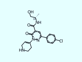 C[C@@H](CO)NC(=O)c1cc(-c2ccc(Cl)cc2)nn(C2=CCNCC2)c1=O